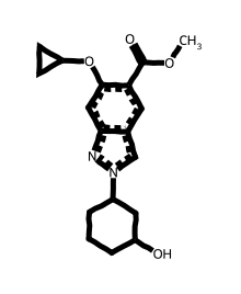 COC(=O)c1cc2cn(C3CCCC(O)C3)nc2cc1OC1CC1